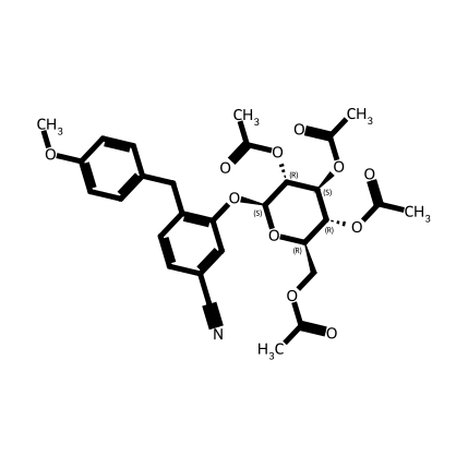 COc1ccc(Cc2ccc(C#N)cc2O[C@@H]2O[C@H](COC(C)=O)[C@@H](OC(C)=O)[C@H](OC(C)=O)[C@H]2OC(C)=O)cc1